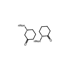 CCCCCCCCCN1CCCC(=O)C1.CCCCCCCCCN1CCCCC1=O